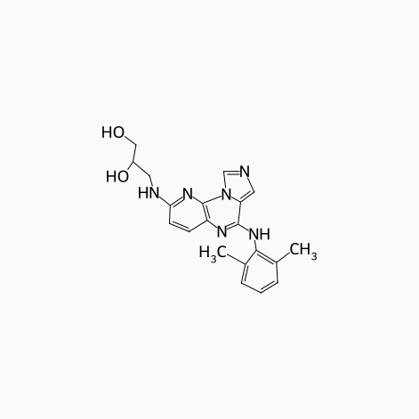 Cc1cccc(C)c1Nc1nc2ccc(NCC(O)CO)nc2n2cncc12